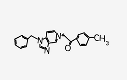 Cc1ccc(C(=O)C[n+]2ccc3c(c2)ncn3Cc2ccccc2)cc1